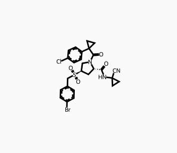 N#CC1(NC(=O)[C@@H]2C[C@@H](S(=O)(=O)Cc3ccc(Br)cc3)CN2C(=O)C2(c3ccc(Cl)cc3)CC2)CC1